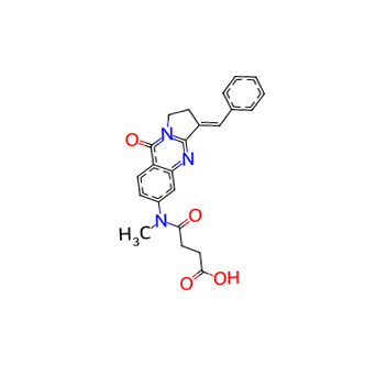 CN(C(=O)CCC(=O)O)c1ccc2c(=O)n3c(nc2c1)C(=Cc1ccccc1)CC3